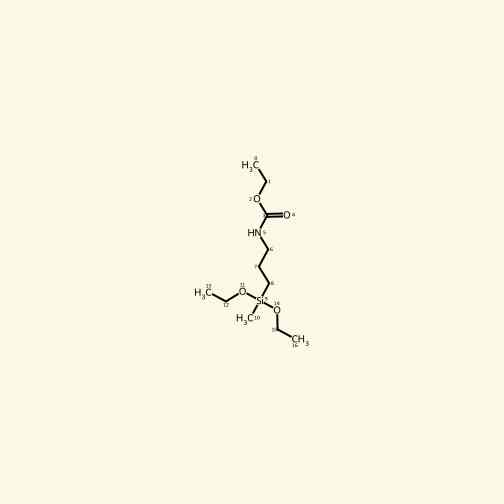 CCOC(=O)NCCC[Si](C)(OCC)OCC